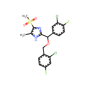 Cc1[nH]c(C(OCc2ccc(F)cc2Cl)c2ccc(F)c(Cl)c2)nc1S(C)(=O)=O